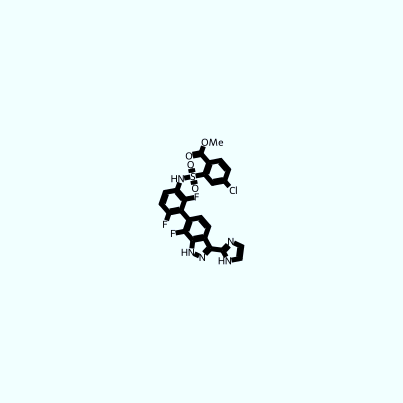 COC(=O)c1ccc(Cl)cc1S(=O)(=O)Nc1ccc(F)c(-c2ccc3c(-c4ncc[nH]4)n[nH]c3c2F)c1F